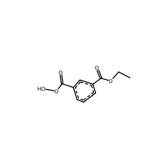 CCOC(=O)c1cccc(C(=O)OO)c1